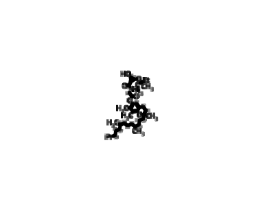 CCC(C)(C)OC1C(O)C1C(=O)NCC(=O)Oc1cc2c(c(C)c1C)OC(C)(CCCC(C)CCCC(C)CCCC(C)C)CC2